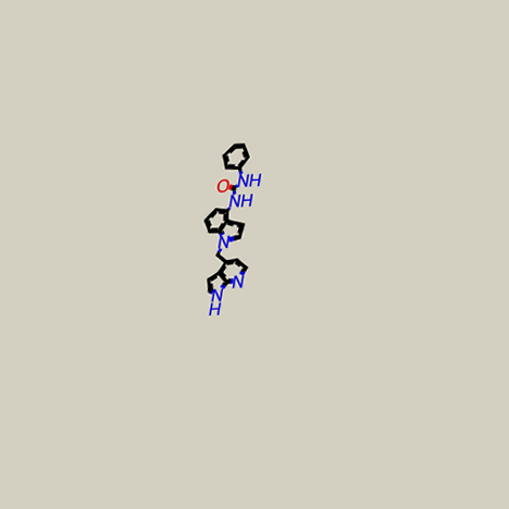 O=C(Nc1ccccc1)Nc1cccc2c1ccn2Cc1ccnc2[nH]ccc12